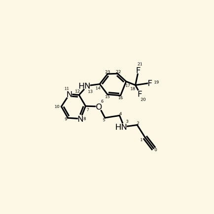 C#CCNCCOc1nccnc1Nc1ccc(C(F)(F)F)cc1